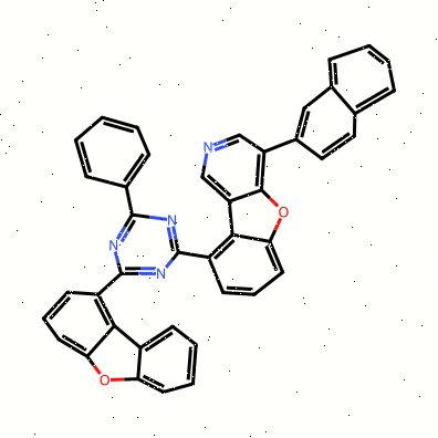 c1ccc(-c2nc(-c3cccc4oc5ccccc5c34)nc(-c3cccc4oc5c(-c6ccc7ccccc7c6)cncc5c34)n2)cc1